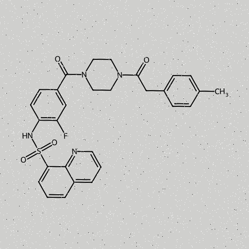 Cc1ccc(CC(=O)N2CCN(C(=O)c3ccc(NS(=O)(=O)c4cccc5cccnc45)c(F)c3)CC2)cc1